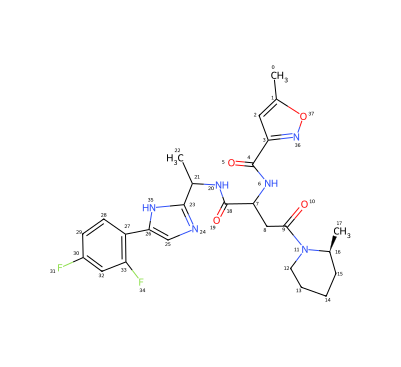 Cc1cc(C(=O)NC(CC(=O)N2CCCC[C@@H]2C)C(=O)NC(C)c2ncc(-c3ccc(F)cc3F)[nH]2)no1